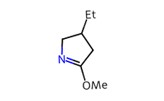 CCC1CN=C(OC)C1